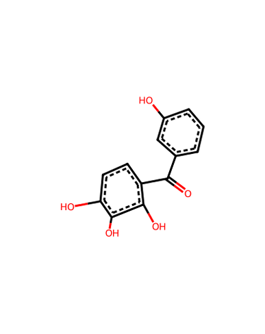 O=C(c1cccc(O)c1)c1ccc(O)c(O)c1O